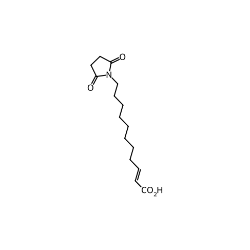 O=C(O)C=CCCCCCCCCN1C(=O)CCC1=O